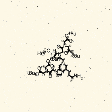 C[C@H](N)CCCCN(Cc1nccn1CC(=O)N(CC(=O)OC(C)(C)C)CC(=O)OC(C)(C)C)Cc1nccn1CC(=O)N(CC(=O)OC(C)(C)C)CC(=O)OC(C)(C)C.O=C(O)O